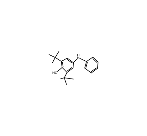 CC(C)(C)c1cc(Nc2ccccc2)cc(C(C)(C)C)c1O